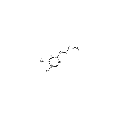 COCOc1ccc(Cl)c(C)c1